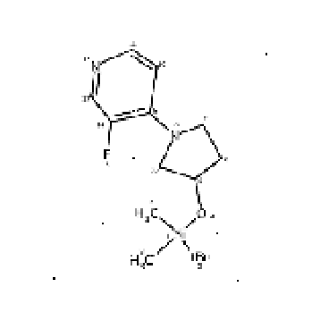 CC(C)(C)[Si](C)(C)OC1CCN(c2ccncc2F)C1